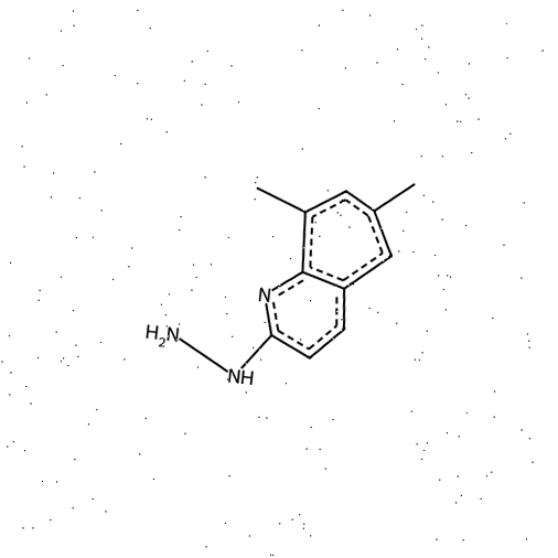 Cc1cc(C)c2nc(NN)ccc2c1